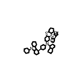 c1ccc(-n2c3ccccc3c3c(-c4ccc(N(c5ccc6c(c5)[Si]5(c7ccccc7S6)c6ccccc6-c6ccccc65)c5cccc6ccccc56)cc4)cccc32)cc1